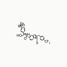 CCS(=O)(=O)c1ccc([C@H](CO)NC(=O)c2ccc3c(c2)cc(Cc2ccc(C(F)(F)F)cc2)n3CCF)cc1